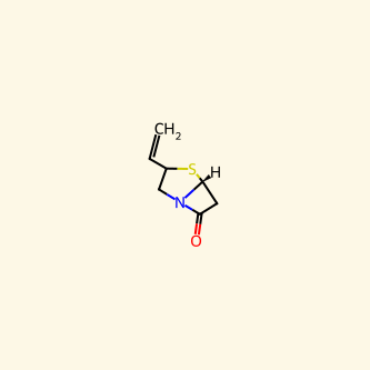 C=CC1CN2C(=O)C[C@H]2S1